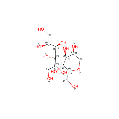 OC[C@@H](O)[C@@](O)([C@H](O)[C@@H](O)CO)[C@]1(O)[C@@H](O)CO[C@H](CO)[C@@H]1O